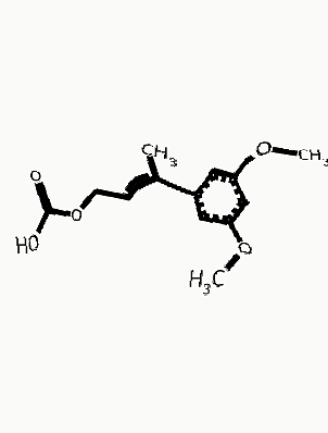 COc1cc(OC)cc(C(C)=CCOC(=O)O)c1